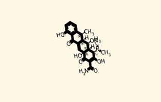 C[C@H]1c2cccc(O)c2C(=O)C2=C[C@]3(O)C(=O)C(C(N)=O)=C(O)[C@@H](N(C)C)[C@@H]3[C@@H](O)[C@@H]21